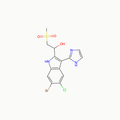 CS(=O)(=O)CC(O)c1[nH]c2cc(Br)c(Cl)cc2c1-c1ncc[nH]1